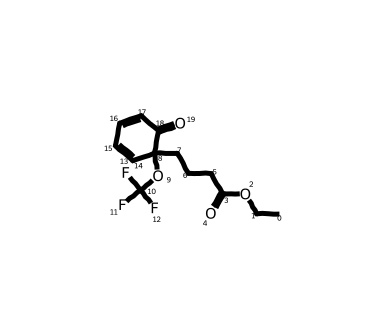 CCOC(=O)CCCC1(OC(F)(F)F)C=CC=CC1=O